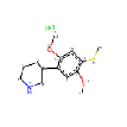 COc1cc(C2CCCNC2)c(OC)cc1SC.Cl